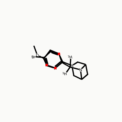 [2H]C([2H])(c1ccc(OC)nc1)N1C2CC1CN(c1ccc(Br)cn1)C2